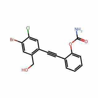 NC(=O)Oc1ccccc1C#Cc1cc(Cl)c(Br)cc1CO